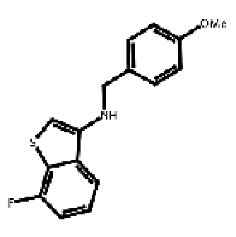 COc1ccc(CNc2csc3c(F)cccc23)cc1